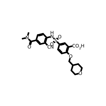 CN(C)C(=O)c1ccc(NS(=O)(=O)c2ccc(OCC3CCOCC3)c(C(=O)O)c2)c(C#N)c1